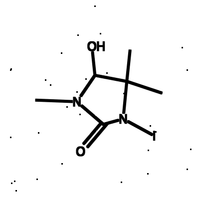 CN1C(=O)N(I)C(C)(C)C1O